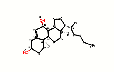 CC(C)CCCC(C)[C@H]1CCC2C3C(O)C=C4C[C@@H](O)CC[C@]4(C)C3CC[C@@]21C